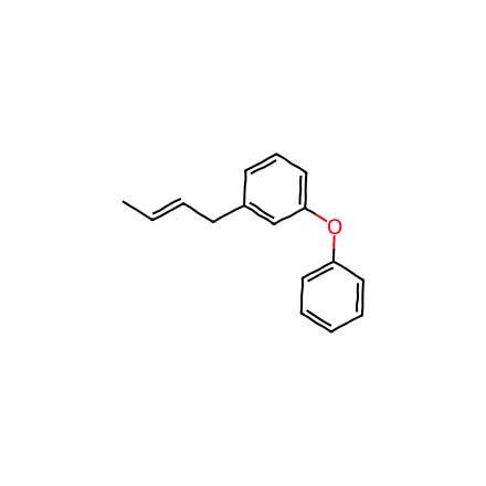 CC=CCc1cccc(Oc2ccccc2)c1